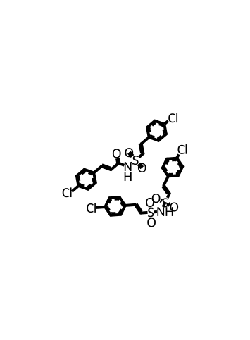 O=C(C=Cc1ccc(Cl)cc1)NS(=O)(=O)C=Cc1ccc(Cl)cc1.O=S(=O)(C=Cc1ccc(Cl)cc1)NS(=O)(=O)C=Cc1ccc(Cl)cc1